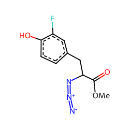 COC(=O)C(Cc1ccc(O)c(F)c1)N=[N+]=[N-]